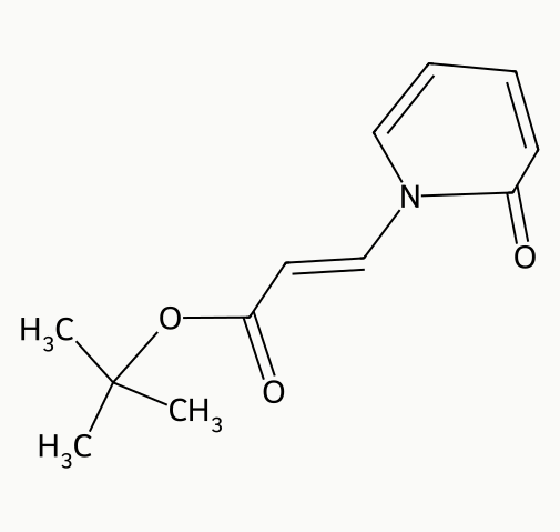 CC(C)(C)OC(=O)C=Cn1ccccc1=O